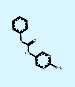 Nc1ncc(NC(=O)Oc2ccccc2)cn1